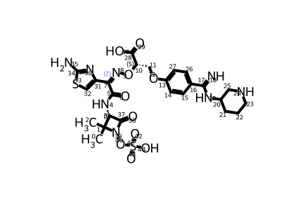 CC1(C)[C@H](NC(=O)/C(=N\O[C@@H](COc2ccc(C(=N)NC3CCCNC3)cc2)C(=O)O)c2csc(N)n2)C(=O)N1OS(=O)(=O)O